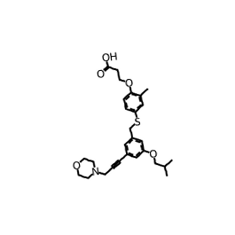 Cc1cc(SCc2cc(C#CCN3CCOCC3)cc(OCC(C)C)c2)ccc1OCCC(=O)O